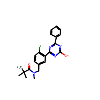 CN(Cc1ccc(Cl)c(-c2nc(O)nc(-c3ccccc3)n2)c1)C(=O)C(C)(C)C(F)(F)F